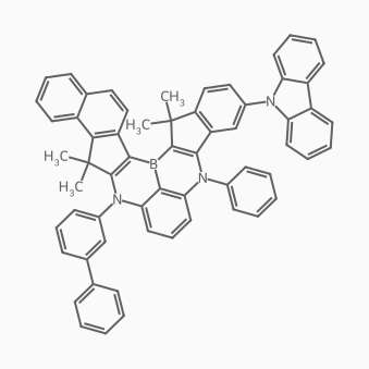 CC1(C)C2=C(c3cc(-n4c5ccccc5c5ccccc54)ccc31)N(c1ccccc1)c1cccc3c1B2C1=C(N3c2cccc(-c3ccccc3)c2)C(C)(C)c2c1ccc1ccccc21